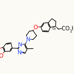 Cc1cnc(-c2ccc3c(c2)OCO3)nc1N1CCC(Oc2ccc3c(c2)CC[C@H]3CC(=O)O)CC1